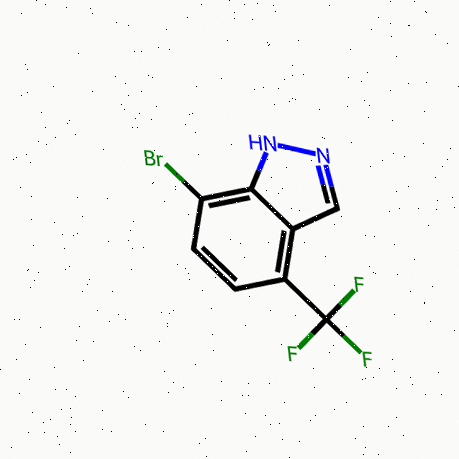 FC(F)(F)c1ccc(Br)c2[nH]ncc12